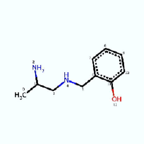 CC(N)CNCc1ccccc1O